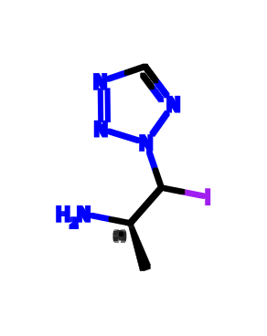 C[C@@H](N)C(I)n1ncnn1